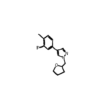 Cc1ccc(-c2cnn(CC3CCCO3)c2)cc1F